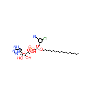 CCCCCCCCCCCCCCCCCCOC[C@H](COP(=O)(O)O[C@@H](C)[C@H]1O[C@@](C)(c2ccc3c(N)ncnn23)[C@H](O)[C@@H]1O)OCc1cc(Cl)cc(C#N)c1